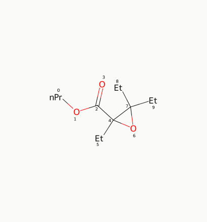 CCCOC(=O)C1(CC)OC1(CC)CC